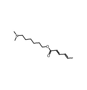 C/C=C/C=C/C(=O)OCCCCCCN(C)C